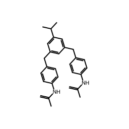 C=C(C)Nc1ccc(Cc2cc(Cc3ccc(NC(=C)C)cc3)cc(C(C)C)c2)cc1